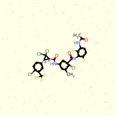 CC(=O)Nc1ccc(F)c(NC(=O)c2cc(NC(=O)[C@H]3[C@H](c4ccc(Cl)c(C(F)(F)F)c4)C3(Cl)Cl)cc(C)c2Cl)c1F